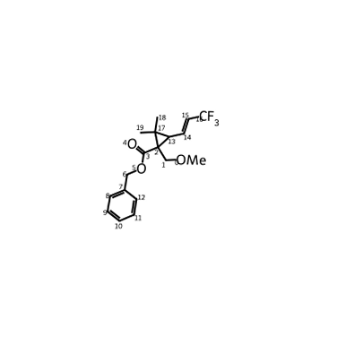 COCC1(C(=O)OCc2ccccc2)C(C=CC(F)(F)F)C1(C)C